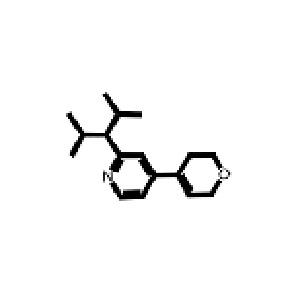 CC(C)C(c1cc(C2=CCOCC2)ccn1)C(C)C